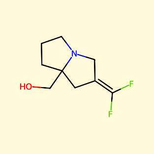 OCC12CCCN1CC(=C(F)F)C2